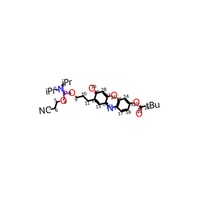 CC(C)N(C(C)C)P(OCCC#N)OCCCc1cc2nc3ccc(OC(=O)C(C)(C)C)cc3oc-2cc1=O